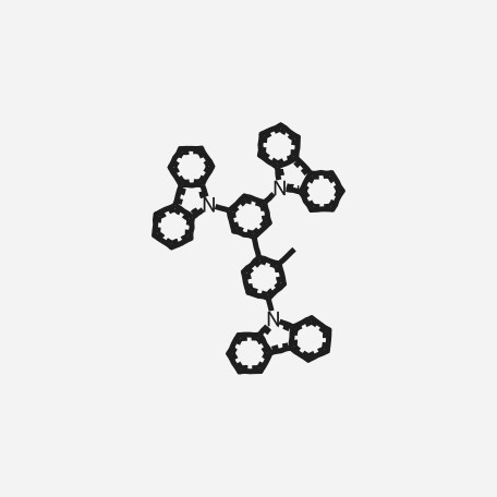 Cc1cc(-n2c3ccccc3c3ccccc32)ccc1-c1cc(-n2c3ccccc3c3ccccc32)cc(-n2c3ccccc3c3ccccc32)c1